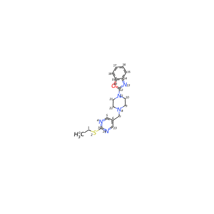 CCSc1ncc(CN2CCN(c3nc4ccccc4o3)CC2)cn1